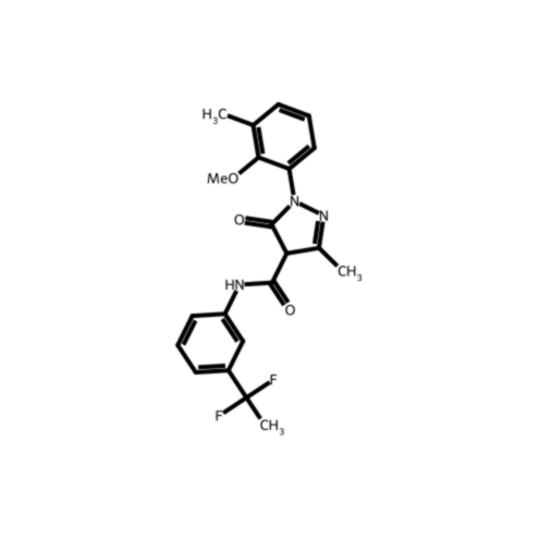 COc1c(C)cccc1N1N=C(C)C(C(=O)Nc2cccc(C(C)(F)F)c2)C1=O